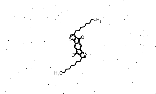 CCCCCCCCc1csc2c1c(=O)c1cc3c(cc12)c(=O)c1c(CCCCCCCC)csc13